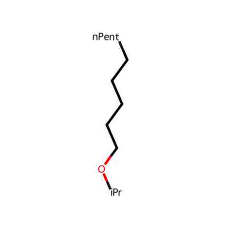 [CH2]C(C)OCCCCCCCCCC